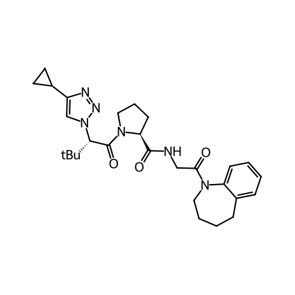 CC(C)(C)[C@@H](C(=O)N1CCC[C@H]1C(=O)NCC(=O)N1CCCCc2ccccc21)n1cc(C2CC2)nn1